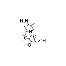 COC1C(O)[C@H](CO)O[C@@H]1n1cc(F)c(N)nc1=O